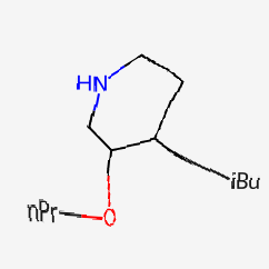 CCCOC1CNCCC1C(C)CC